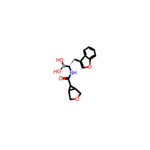 O=C(N[C@@H](Cc1coc2ccccc12)B(O)O)C1C2COCC21